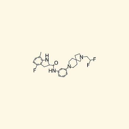 Cc1ccc(F)c2c1NC(C(=O)Nc1cccc(N3CCC4(CCN(CC(F)F)C4)CC3)c1)C2